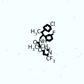 CC(c1ccc(Cl)cc1)C(CNC(=O)C(C)(C)Oc1cc(C(F)(F)F)ncn1)c1cccc(F)c1